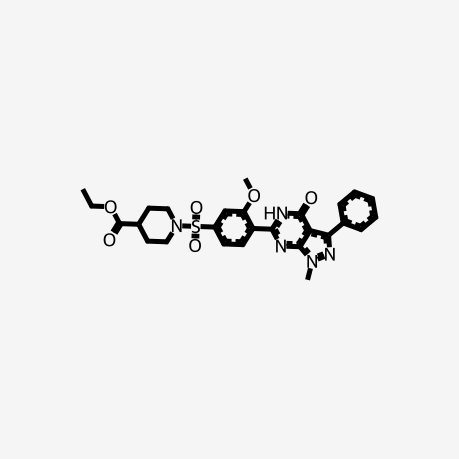 CCOC(=O)C1CCN(S(=O)(=O)c2ccc(-c3nc4c(c(-c5ccccc5)nn4C)c(=O)[nH]3)c(OC)c2)CC1